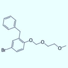 COCCOCOc1ccc(Br)cc1Cc1ccccc1